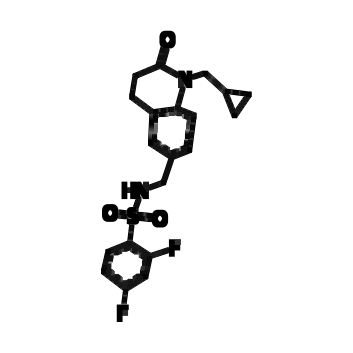 O=C1CCc2cc(CNS(=O)(=O)c3ccc(F)cc3F)ccc2N1CC1CC1